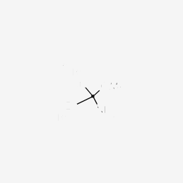 CC[C](N)([Sn+3])OC.[Br-].[Br-].[Br-]